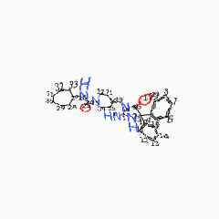 N=C1NC(c2ccccc2)(c2ccccc2)C(=O)N1CC1CCN(C(=O)NC2CCCCCC2)CC1